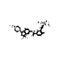 CN1CCN(C2CC(F)(F)c3cc(NC(=O)c4ccc(F)c(C#C[Si](C)(C)C)c4)ccc32)CC1